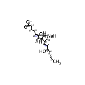 CCCCC[C@H](O)/C=C/[C@H]1CC[C@@H]2O/C(=C\CCCC(=O)O)C(F)[C@@H]21.[NaH]